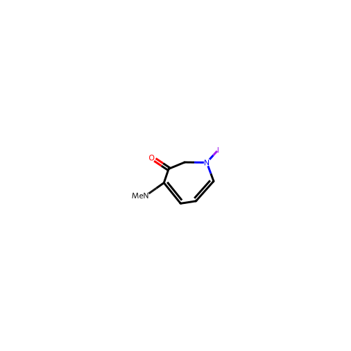 CNC1=CC=CN(I)CC1=O